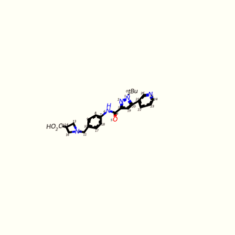 CC(C)(C)n1nc(C(=O)Nc2ccc(CN3CC(C(=O)O)C3)cc2)cc1-c1cccnc1